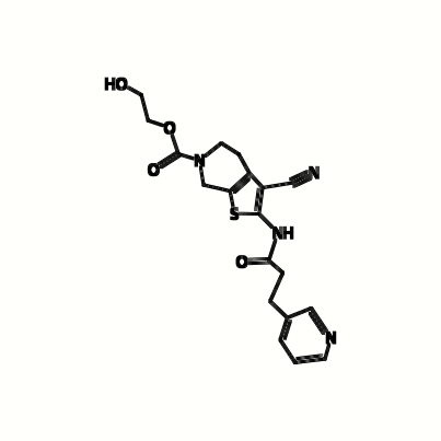 N#Cc1c(NC(=O)CCc2cccnc2)sc2c1CCN(C(=O)OCCO)C2